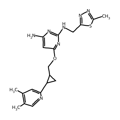 Cc1nnc(CNc2nc(N)cc(OCC3CC3c3cc(C)c(C)cn3)n2)s1